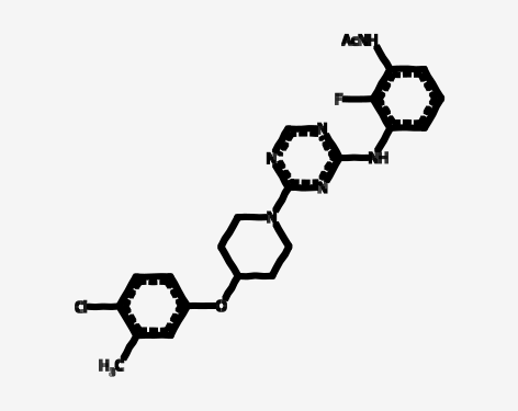 CC(=O)Nc1cccc(Nc2ncnc(N3CCC(Oc4ccc(Cl)c(C)c4)CC3)n2)c1F